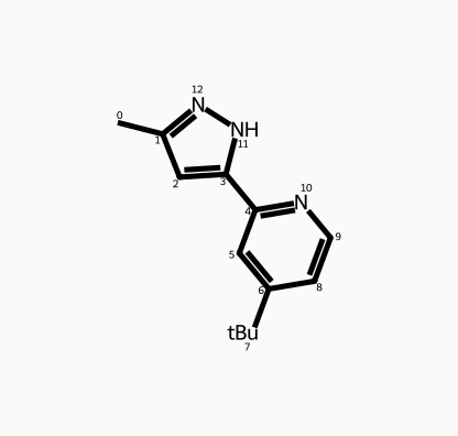 Cc1cc(-c2cc(C(C)(C)C)ccn2)[nH]n1